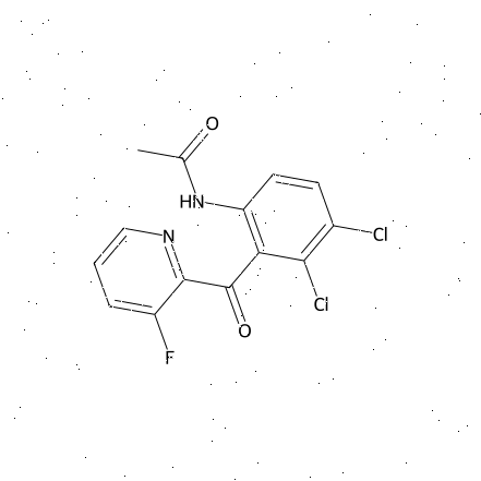 CC(=O)Nc1ccc(Cl)c(Cl)c1C(=O)c1ncccc1F